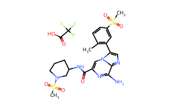 Cc1ccc(S(C)(=O)=O)cc1-c1cnc2c(N)nc(C(=O)NC3CCCN(S(C)(=O)=O)C3)cn12.O=C(O)C(F)(F)F